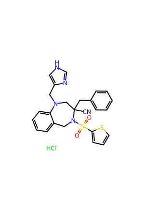 Cl.N#CC1(Cc2ccccc2)CN(Cc2c[nH]cn2)c2ccccc2CN1S(=O)(=O)c1cccs1